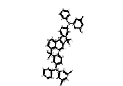 CC1=CC(C)CC(N(c2ccccc2)c2ccc3c(c2)C(C)(C)c2cc4c5c(cccc5c2-3)C(C)(C)c2cc(N(c3ccccc3)c3cc(C)cc(C)c3)ccc2-4)=C1